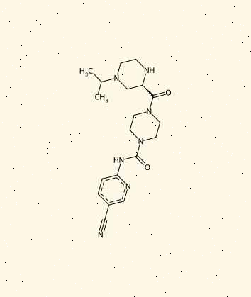 CC(C)N1CCN[C@@H](C(=O)N2CCN(C(=O)Nc3ccc(C#N)cn3)CC2)C1